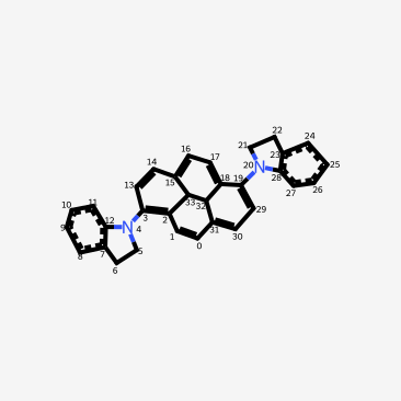 C1=CC2=C(N3CCc4ccccc43)C=CC3=CC=C4C(N5CCc6ccccc65)=CC=C1C4C32